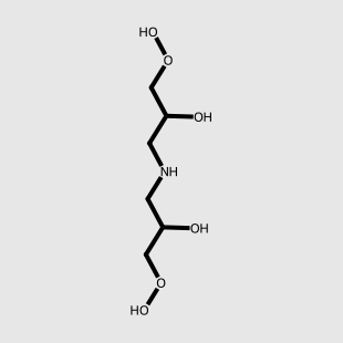 OOCC(O)CNCC(O)COO